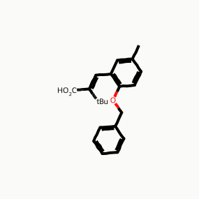 Cc1ccc(OCc2ccccc2)c(/C=C(/C(=O)O)C(C)(C)C)c1